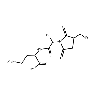 CCC(C(=O)NC(CCNC)C(=O)C(C)C)N1C(=O)CC(CC(C)C)C1=O